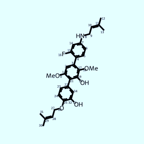 COc1cc(-c2ccc(NCC=C(C)C)cc2F)c(OC)c(O)c1-c1ccc(OCC=C(C)C)c(O)c1